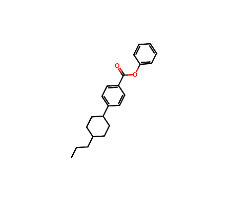 CCCC1CCC(c2ccc(C(=O)Oc3ccccc3)cc2)CC1